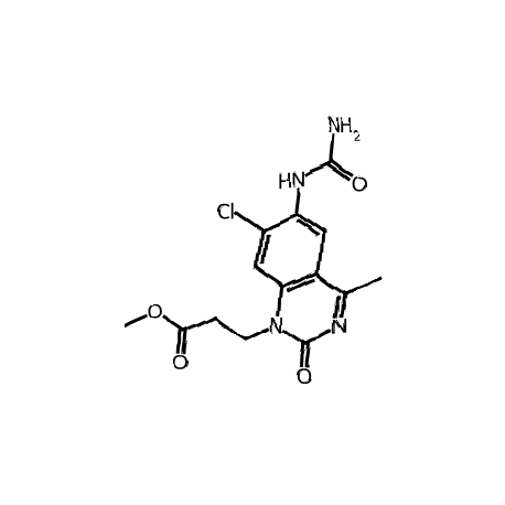 COC(=O)CCn1c(=O)nc(C)c2cc(NC(N)=O)c(Cl)cc21